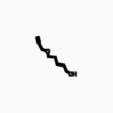 C#CCOCCC=CCO